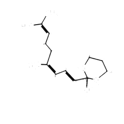 CC(C)=CCCC(C)=CC=CC1(C)OCCCO1